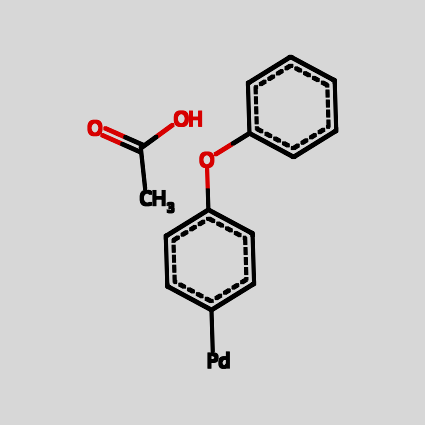 CC(=O)O.[Pd][c]1ccc(Oc2ccccc2)cc1